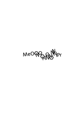 COc1ccc(Oc2cccc(C(=O)Nc3cccc(-c4nncn4C(C)C)n3)c2)nc1